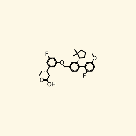 CC[C@@H](CC(=O)O)c1cc(F)cc(OCc2ccc(-c3cc(OC)ccc3F)c([C@H]3CCCC3(C)C)c2)c1